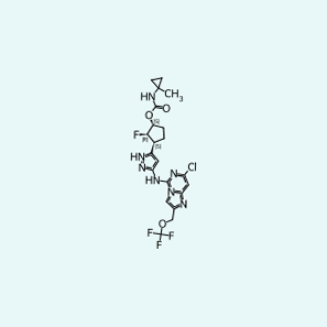 CC1(NC(=O)O[C@H]2CC[C@@H](c3cc(Nc4nc(Cl)cc5nc(COC(F)(F)F)cn45)n[nH]3)[C@H]2F)CC1